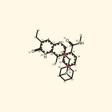 CCc1cc2ncc(CN3CC4CC(C3)N4c3ccc(C(=O)NC)nc3)c(F)c2[nH]c1=O